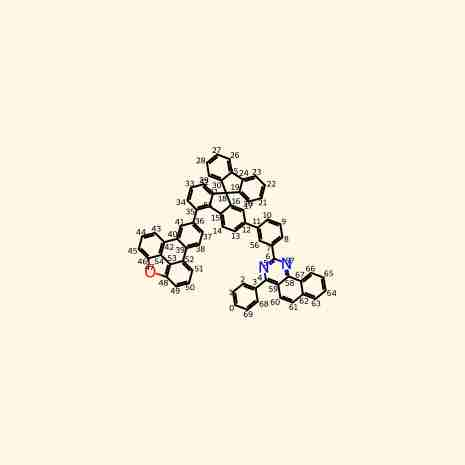 c1ccc(-c2nc(-c3cccc(-c4ccc5c(c4)C4(c6ccccc6-c6ccccc64)c4cccc(-c6ccc7c(c6)c6cccc8oc9cccc7c9c86)c4-5)c3)nc3c2ccc2ccccc23)cc1